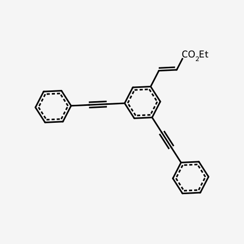 CCOC(=O)C=Cc1cc(C#Cc2ccccc2)cc(C#Cc2ccccc2)c1